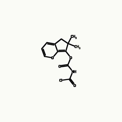 CC1(C)CC2=CC=COC2=C1OC(=O)NC(=O)Cl